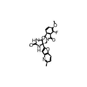 COc1ccc2c(c1F)C(=O)N(C[C@@]1(c3cc4nc(C)ccc4o3)NC(=O)NC1=O)C2